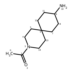 CC(=O)N1CCC2(CCC(N)CC2)CC1